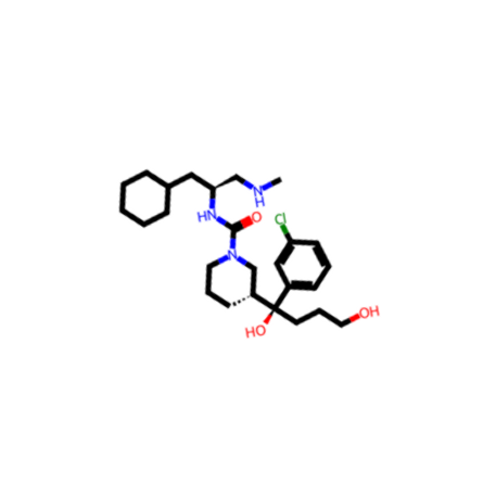 CNC[C@H](CC1CCCCC1)NC(=O)N1CCC[C@@H]([C@@](O)(CCCO)c2cccc(Cl)c2)C1